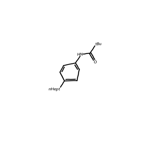 CCCCCCCc1ccc(NC(=O)C(C)(C)C)cc1